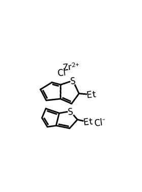 CCC1C=C2C=CC=C2S1.CCC1C=C2C=CC=C2S1.[Cl-].[Cl-].[Zr+2]